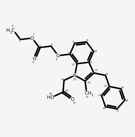 CCOC(=O)COc1cccc2c(Cc3ccccc3)c(C)n(CC(=O)O)c12